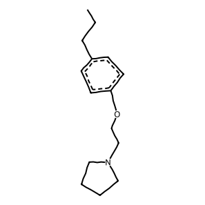 CCCc1ccc(OCCN2CCCC2)cc1